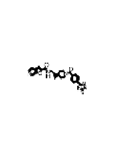 Cn1nnc(-c2ccc(C(=O)N3CCC4(CC3)CC4CNC(=O)c3cc4ccncc4o3)cc2)n1